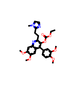 CCOC(=O)Oc1c(CCc2nccn2C)nc2cc(OC)c(OC)cc2c1-c1ccc(OC)c(OC)c1